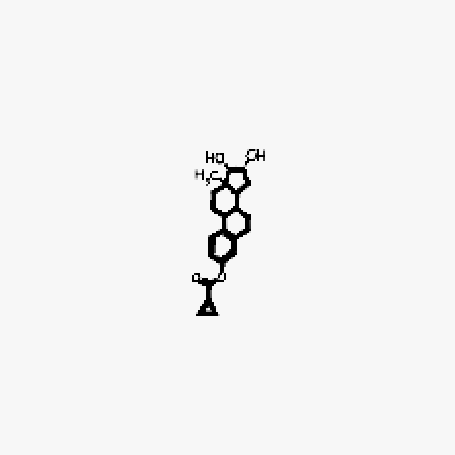 C[C@]12CCC3c4ccc(OC(=O)C5CC5)cc4CCC3C1C[C@@H](O)[C@@H]2O